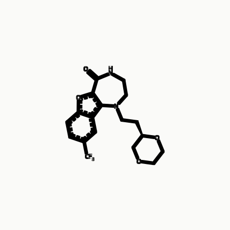 O=C1NCCN(CC[C@@H]2COCCO2)c2c1oc1ccc(C(F)(F)F)cc21